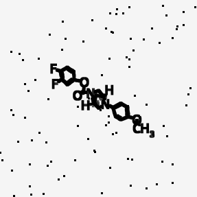 COc1ccc(N2C[C@H]3C[C@@H]2CN3C(=O)Oc2ccc(F)c(F)c2)cc1